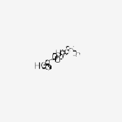 CC[C@H](CC[C@@H](C)[C@H]1CCC2C3CC[C@H]4C[C@@H](OC(=O)/C=C/c5ccc(O)c(OC)c5)CC[C@]4(C)C3CC[C@@]21C)C(C)C